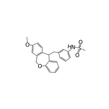 COc1ccc2c(c1)COc1ccccc1C2Cc1cccc(NS(C)(=O)=O)c1